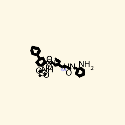 CS(=O)(=O)Nc1ccc(-c2ccccc2)cc1S(=O)(=O)n1ccc(/C=C/C(=O)Nc2ccccc2N)c1